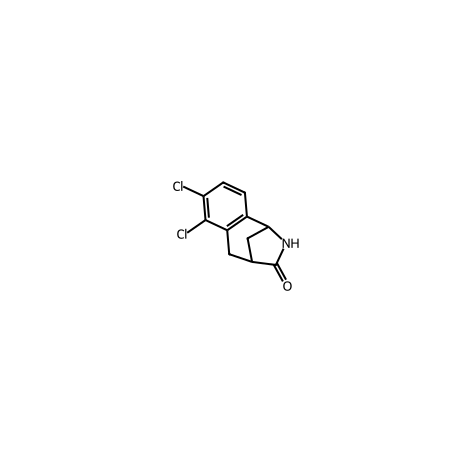 O=C1NC2CC1Cc1c2ccc(Cl)c1Cl